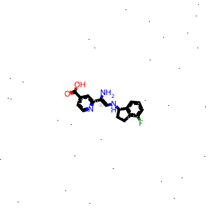 N/C(=C\NC1CCc2c(F)cccc21)c1cc(C(=O)O)ccn1